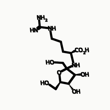 N=C(N)NCCC[C@H](NC1(CO)O[C@H](CO)[C@@H](O)[C@@H]1O)C(=O)O